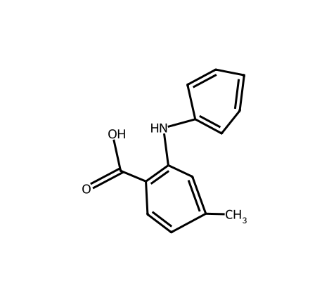 Cc1ccc(C(=O)O)c(Nc2ccccc2)c1